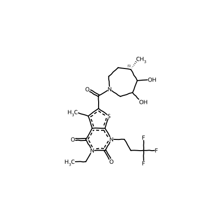 CCn1c(=O)c2c(C)c(C(=O)N3CC[C@H](C)C(O)C(O)C3)sc2n(CCC(F)(F)F)c1=O